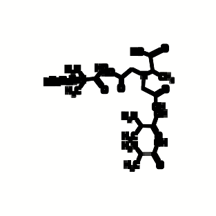 CC(C(=O)O)N(CC(=O)O)CC(=O)O.CC(N)C(=O)O.CC(N)C(=O)O.CC(N)C(=O)O.[NaH].[NaH].[NaH].[NaH]